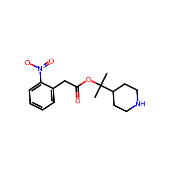 CC(C)(OC(=O)Cc1ccccc1[N+](=O)[O-])C1CCNCC1